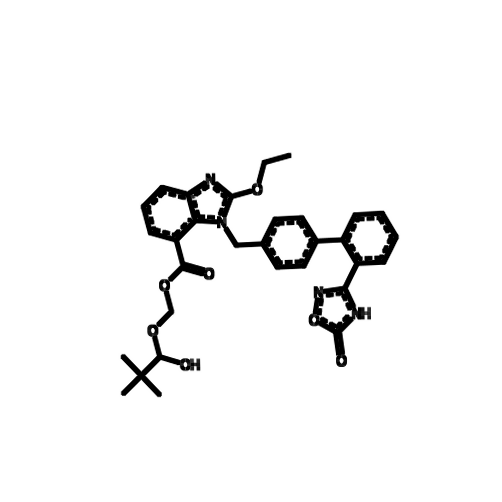 CCOc1nc2cccc(C(=O)OCOC(O)C(C)(C)C)c2n1Cc1ccc(-c2ccccc2-c2noc(=O)[nH]2)cc1